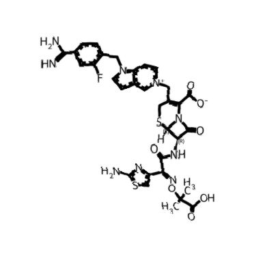 CC(C)(ON=C(C(=O)N[C@@H]1C(=O)N2C(C(=O)[O-])=C(C[n+]3ccc4c(ccn4Cc4ccc(C(=N)N)cc4F)c3)CS[C@H]12)c1csc(N)n1)C(=O)O